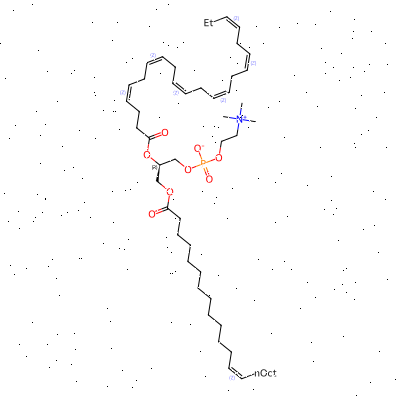 CC/C=C\C/C=C\C/C=C\C/C=C\C/C=C\C/C=C\CCC(=O)O[C@H](COC(=O)CCCCCCCCCCC/C=C\CCCCCCCC)COP(=O)([O-])OCC[N+](C)(C)C